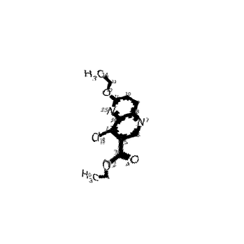 CCOC(=O)c1cnc2ccc(OCC)nc2c1Cl